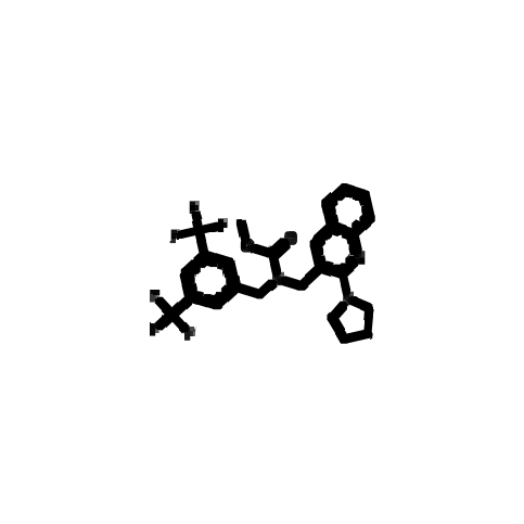 COC(=O)N(Cc1cc(C(F)(F)F)cc(C(F)(F)F)c1)Cc1cc2ccccc2nc1N1CCCC1